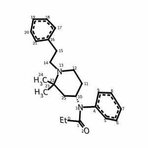 CCC(=O)N(c1ccccc1)[C@H]1CCN(CCc2ccccc2)C(C)(C)C1